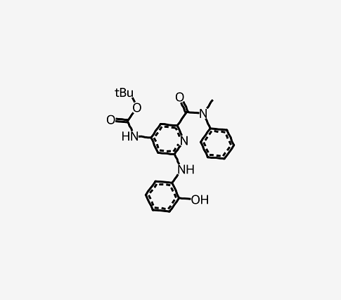 CN(C(=O)c1cc(NC(=O)OC(C)(C)C)cc(Nc2ccccc2O)n1)c1ccccc1